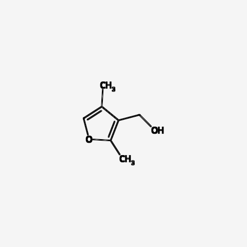 Cc1coc(C)c1CO